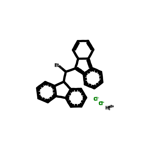 CCC(C1=c2ccccc2=C2C=CC=CC21)C1c2ccccc2-c2ccccc21.[Cl-].[Cl-].[Hf+2]